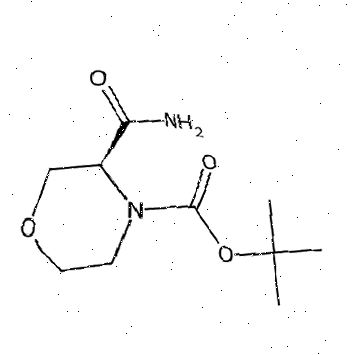 CC(C)(C)OC(=O)N1CCOC[C@H]1C(N)=O